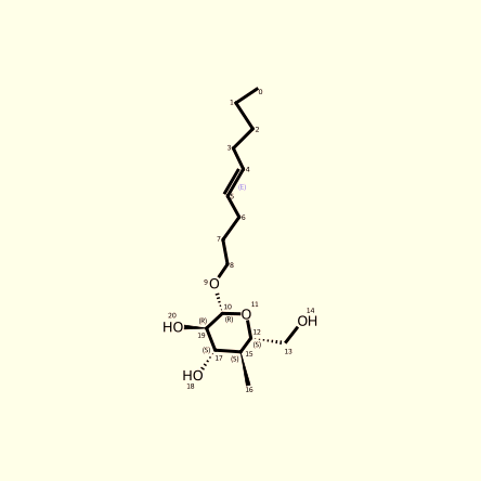 CCCC/C=C/CCCO[C@@H]1O[C@H](CO)[C@@H](C)[C@H](O)[C@H]1O